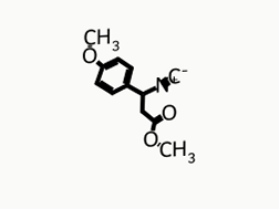 [C-]#[N+]C(CC(=O)OC)c1ccc(OC)cc1